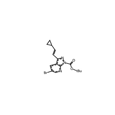 CC(C)(C)OC(=O)n1nc(C=CC2CC2)c2cc(Br)cnc21